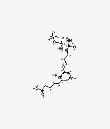 Cc1cc(CCCCC(=O)O)c(F)c(OCCCC(NC(=O)OC(C)(C)C)C(N)=O)c1